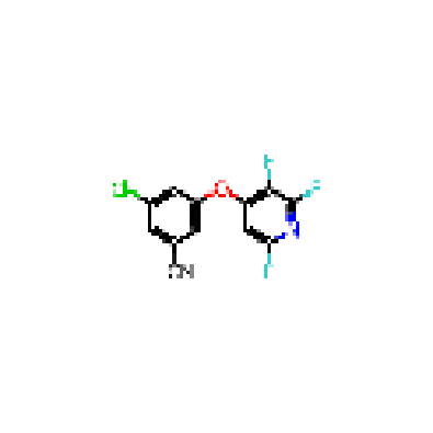 N#Cc1cc(Cl)cc(Oc2cc(F)nc(F)c2F)c1